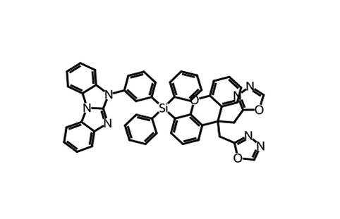 c1ccc([Si](c2ccccc2)(c2cccc(-n3c4ccccc4n4c5ccccc5nc34)c2)c2cccc3c2Oc2ccccc2C3(Cc2nnco2)Cc2nnco2)cc1